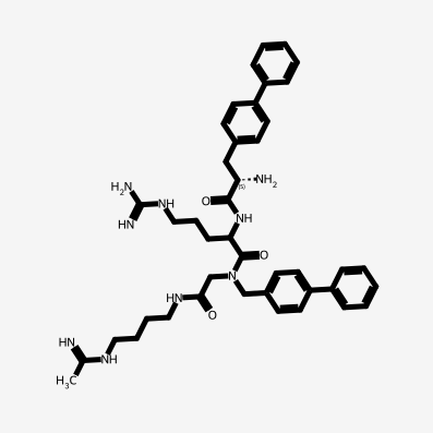 CC(=N)NCCCCNC(=O)CN(Cc1ccc(-c2ccccc2)cc1)C(=O)C(CCCNC(=N)N)NC(=O)[C@@H](N)Cc1ccc(-c2ccccc2)cc1